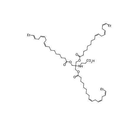 CC/C=C\C/C=C\C/C=C\CCCCCCCC(=O)OCC(COC(=O)CCCCCCC/C=C\C/C=C\C/C=C\CC)(COC(=O)CCCCCCC/C=C\C/C=C\C/C=C/CC)NCCC(=O)O